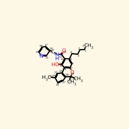 CCCCCc1cc2c(c(O)c1C(=O)NCc1cccnc1)-c1cc(C)ccc1C(C)(C)O2